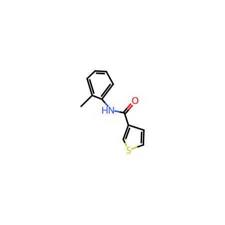 Cc1ccccc1NC(=O)c1ccsc1